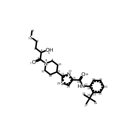 CSCCC(O)C(=O)N1CCC(c2nc(C(=O)Nc3ccccc3C(C)(C)C)cs2)CC1